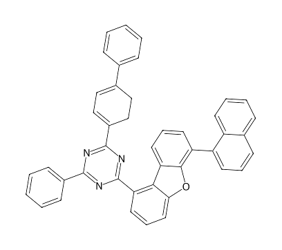 C1=C(c2ccccc2)CCC(c2nc(-c3ccccc3)nc(-c3cccc4oc5c(-c6cccc7ccccc67)cccc5c34)n2)=C1